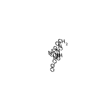 C=CC(=O)N1CCC[C@@H](NC(=O)c2sc3nccc4c3c2NC(=O)N4c2ccc(COc3ccccc3)cc2)C1